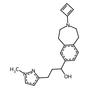 Cn1ccc(CCC(O)c2ccc3c(c2)CCN(C2=CC=C2)CC3)n1